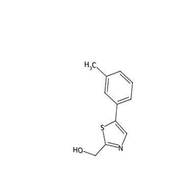 Cc1cccc(-c2cnc(CO)s2)c1